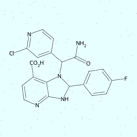 NC(=O)C(c1ccnc(Cl)c1)N1c2c(C(=O)O)ccnc2NC1c1ccc(F)cc1